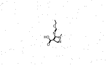 CCO/C=N/c1c(C(=O)O)cnn1C